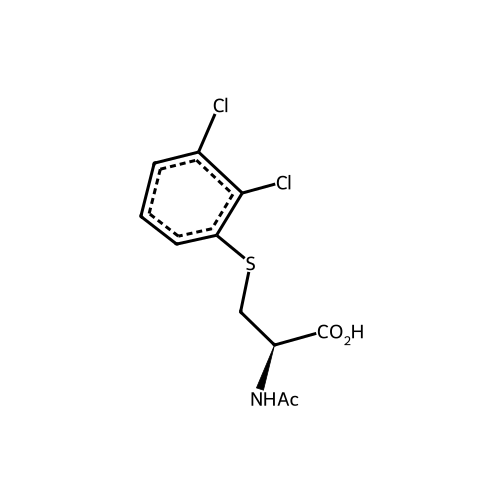 CC(=O)N[C@@H](CSc1cccc(Cl)c1Cl)C(=O)O